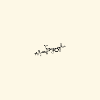 CCOC(=O)c1cc2cc(C(=O)Nc3cc(C(=O)NCCNC(=O)OC(C)(C)C)n(CC(C)C)c3)ccc2[nH]1